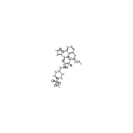 CN(Cc1cccc(-n2cccn2)c1)c1ncnc(NCC2CCN(S(C)(=O)=O)CC2)c1F